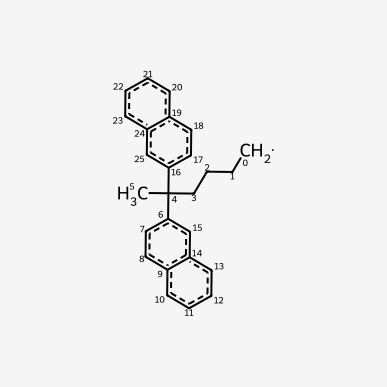 [CH2]CCCC(C)(c1ccc2ccccc2c1)c1ccc2ccccc2c1